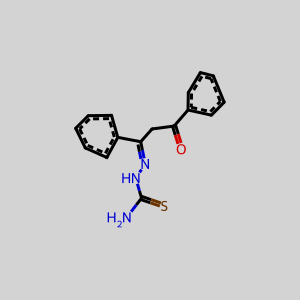 NC(=S)NN=C(CC(=O)c1ccccc1)c1ccccc1